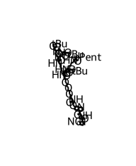 CCCCCC(=O)NCCCC[C@H](NC(=O)[C@H](CCCCNC(=O)CN1CCN(CC(=O)OC(C)(C)C)CCN(CC(=O)OC(C)(C)C)CC1)NC(=O)CCOCCOCCOCCNC(=O)COc1ccc2c(C(=O)NCC(=O)N3CCC[C@H]3C#N)ccnc2c1)C(=O)OC(C)(C)C